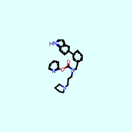 O=C(Oc1ccccn1)N(CCCN1CCCC1)Cc1cccc(-c2ccc3[nH]ccc3c2)c1